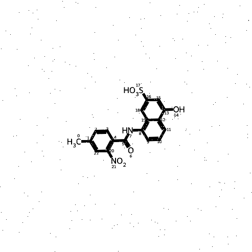 Cc1ccc(C(=O)Nc2cccc3c(O)cc(S(=O)(=O)O)cc23)c([N+](=O)[O-])c1